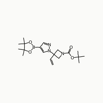 C=CC1(n2cc(B3OC(C)(C)C(C)(C)O3)cn2)CN(C(=O)OC(C)(C)C)C1